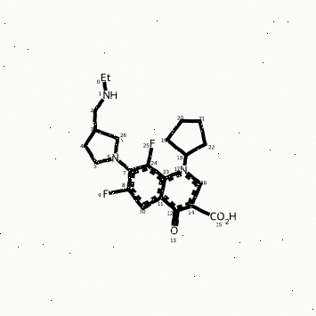 CCNCC1CCN(c2c(F)cc3c(=O)c(C(=O)O)cn(C4CCCC4)c3c2F)C1